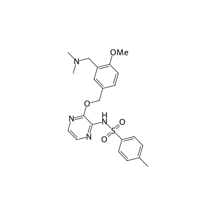 COc1ccc(COc2nccnc2NS(=O)(=O)c2ccc(C)cc2)cc1CN(C)C